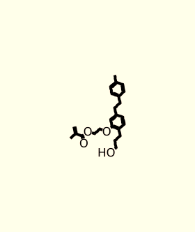 C=C(C)C(=O)OCCOc1cc(CCc2ccc(C)cc2)ccc1CCCO